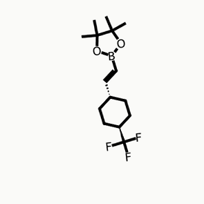 CC1(C)OB(/C=C/[C@H]2CC[C@H](C(F)(F)F)CC2)OC1(C)C